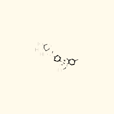 Cc1ccc(N(CC(C)C)S(=O)(=O)c2ccc(OC[C@H]3OC[C@H](O)[C@@H](O)[C@H]3O)cc2)c(C)c1